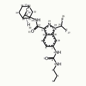 CCCNC(=O)Nc1ccc2c(C(=O)N[C@@H]3CN4CCC3CC4)nn(C(F)F)c2c1